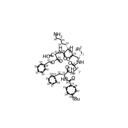 CC(C)C[C@H](NC(=O)[C@H](C)NC(=O)[C@H](Cc1ccccc1)NC(=O)c1ccc(C(C)(C)C)cc1)C(=O)N[C@@H](CCCCN)C(=O)N[C@@H](CO)C(=O)OCc1ccccc1